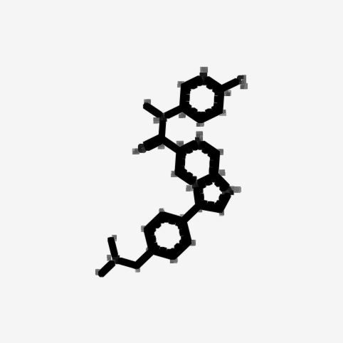 CN(C)Cc1ccc(-c2cnc3cnc(C(=O)N(C)c4ccc(Cl)nc4)cn23)cc1